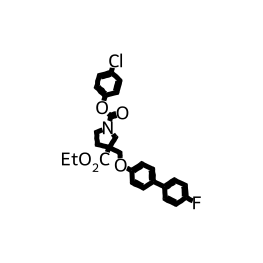 CCOC(=O)C1(COc2ccc(-c3ccc(F)cc3)cc2)CCN(C(=O)Oc2ccc(Cl)cc2)C1